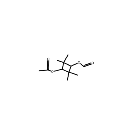 CC(=O)OC1C(C)(C)C(OC=O)C1(C)C